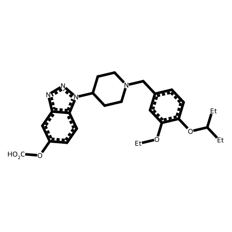 CCOc1cc(CN2CCC(n3nnc4cc(OC(=O)O)ccc43)CC2)ccc1OC(CC)CC